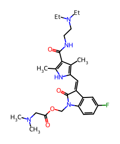 CCN(CC)CCNC(=O)c1c(C)[nH]c(/C=C2\C(=O)N(COC(=O)CN(C)C)c3ccc(F)cc32)c1C